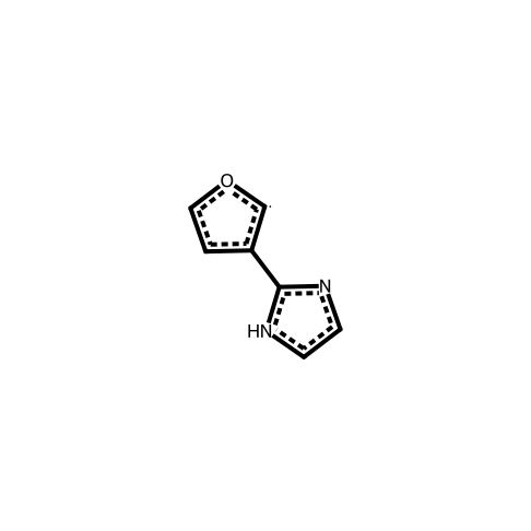 [c]1occc1-c1ncc[nH]1